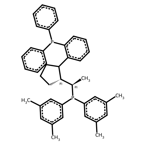 Cc1cc(C)cc(P(c2cc(C)cc(C)c2)[C@H](C)[C@@H]2CCCC2c2ccccc2P(c2ccccc2)c2ccccc2)c1